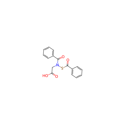 O=C(O)CN(SC(=O)c1ccccc1)C(=O)c1ccccc1